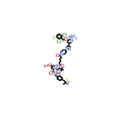 Cc1ncsc1-c1ccc(CNC(=O)[C@@H]2C[C@@H](O)CN2C(=O)C(NC(=O)CCCCC(=O)N2CCC(n3cc(-c4cnc(N)c(O[C@H](C)c5c(Cl)ccc(F)c5Cl)c4)cn3)CC2)C(C)(C)C)cc1